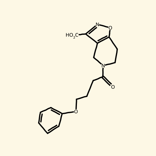 O=C(O)c1noc2c1CN(C(=O)CCCOc1ccccc1)CC2